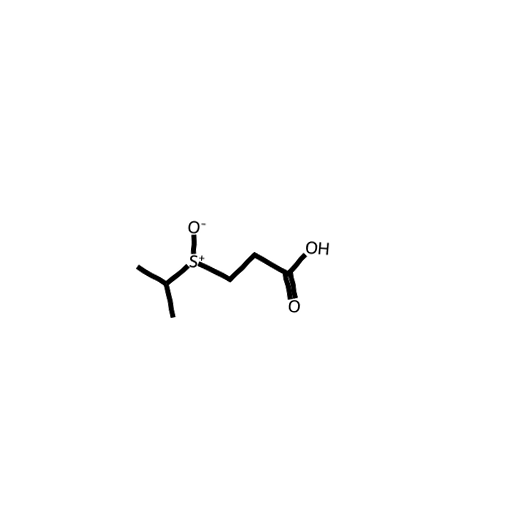 CC(C)[S+]([O-])CCC(=O)O